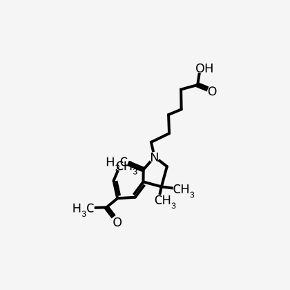 C=C1/C(=C\C(=C/C)C(C)=O)C(C)(C)CN1CCCCCC(=O)O